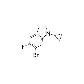 Fc1cc2ccn(C3CC3)c2cc1Br